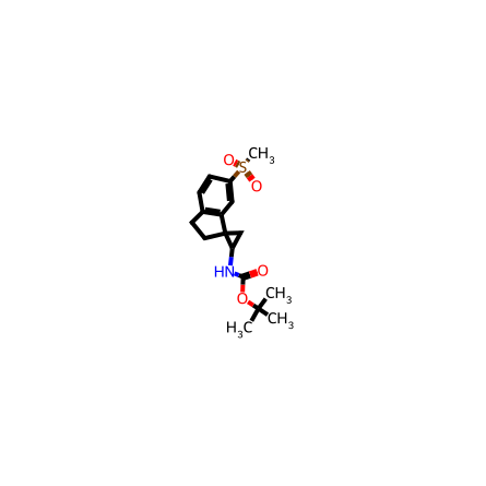 CC(C)(C)OC(=O)NC1CC12CCc1ccc(S(C)(=O)=O)cc12